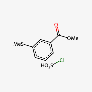 COC(=O)c1cccc(SC)c1.O=S(=O)(O)Cl